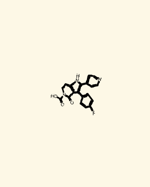 O=C(O)N1CCc2[nH]c(-c3ccncc3)c(-c3ccc(F)cc3)c2C1=O